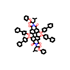 CC(C)CC(C(=O)Oc1ccccc1)N1C(=O)c2cc(Oc3ccc(-c4ccccc4)cc3)c3c4c(Oc5ccc(-c6ccccc6)cc5)cc5c6c(cc(Oc7ccc(-c8ccccc8)cc7)c(c7c(Oc8ccc(-c9ccccc9)cc8)cc(c2c37)C1=O)c64)C(=O)N(C(CC(C)C)C(=O)Oc1ccccc1)C5=O